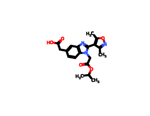 Cc1noc(C)c1-c1nc2cc(CC(=O)O)ccc2n1CC(=O)OC(C)C